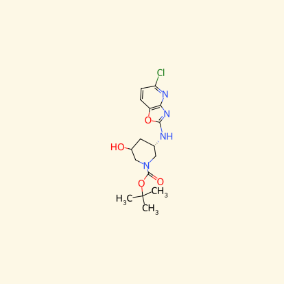 CC(C)(C)OC(=O)N1CC(O)C[C@H](Nc2nc3nc(Cl)ccc3o2)C1